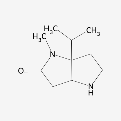 CC(C)C12CCNC1CC(=O)N2C